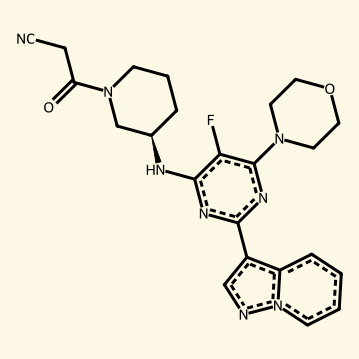 N#CCC(=O)N1CCC[C@@H](Nc2nc(-c3cnn4ccccc34)nc(N3CCOCC3)c2F)C1